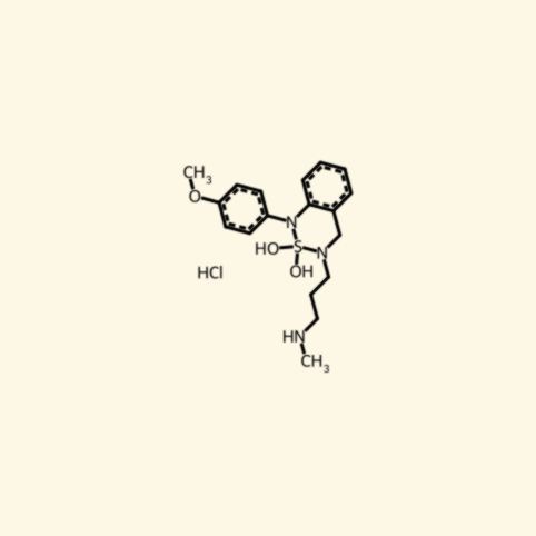 CNCCCN1Cc2ccccc2N(c2ccc(OC)cc2)S1(O)O.Cl